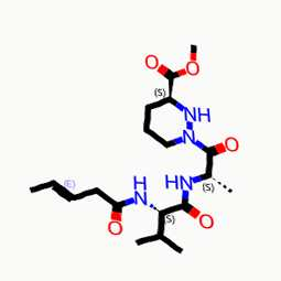 C/C=C/CC(=O)N[C@H](C(=O)N[C@@H](C)C(=O)N1CCC[C@@H](C(=O)OC)N1)C(C)C